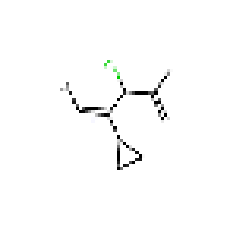 C=C(C)C(Cl)/C(=C\CC)C1CC1